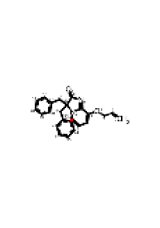 C=CCOC1=CC=CN2C1=NC(=O)C2(Cc1ccccc1)Cc1ccccc1